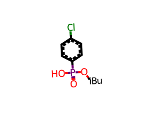 CCC(C)OP(=O)(O)c1ccc(Cl)cc1